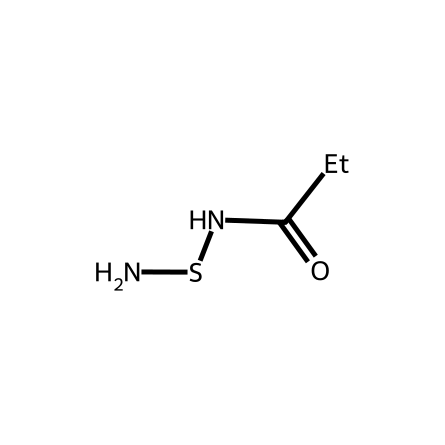 CCC(=O)NSN